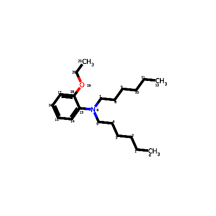 CCCCCCN(CCCCCC)c1ccccc1OCC